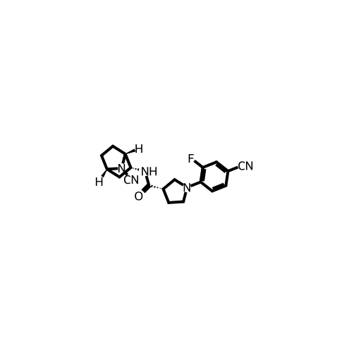 N#Cc1ccc(N2CC[C@H](C(=O)N[C@@H]3C[C@@H]4CC[C@H]3N4C#N)C2)c(F)c1